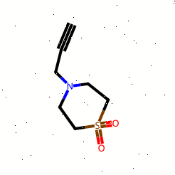 C#CCN1CCS(=O)(=O)CC1